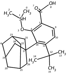 C[SiH](C)Oc1c(C(=O)O)ccc(C(C)(C)C)c1C12CC3CC(CC(C3)C1)C2